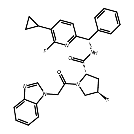 O=C(N[C@@H](c1ccccc1)c1ccc(C2CC2)c(F)n1)[C@@H]1C[C@@H](F)CN1C(=O)Cn1cnc2ccccc21